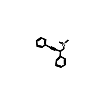 CN(C)CC(C#Cc1ccccc1)c1ccccc1